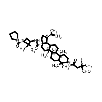 C=C(C)[C@@H]1CC[C@]2(C(=O)NC3C[C@H](C(=O)N4CCCC4)C3(C)C)CC[C@]3(C)C(CCC4[C@@]5(C)CC[C@H](OC(=O)CC(C)(C)C=O)C(C)(C)C5CC[C@]43C)C12